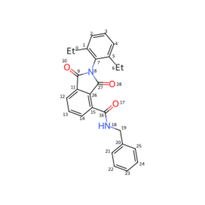 CCc1cccc(CC)c1N1C(=O)c2cccc(C(=O)NCc3ccccc3)c2C1=O